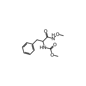 CONC(=O)C(Cc1ccccc1)NC(=O)OC